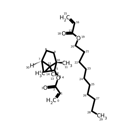 C=CC(=O)OC1C[C@H]2CC[C@@]1(C)C2(C)C.C=CC(=O)OCCCCCCCCCC